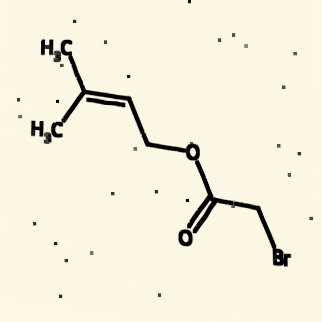 CC(C)=CCOC(=O)CBr